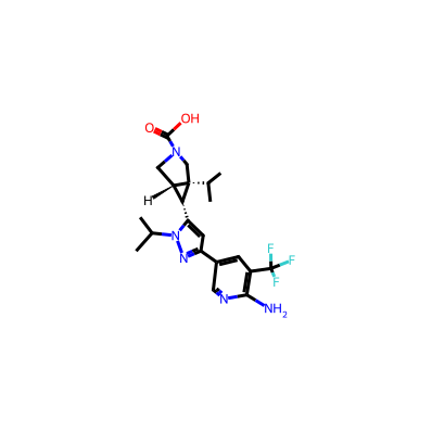 CC(C)n1nc(-c2cnc(N)c(C(F)(F)F)c2)cc1[C@@H]1[C@@H]2CN(C(=O)O)C[C@@]12C(C)C